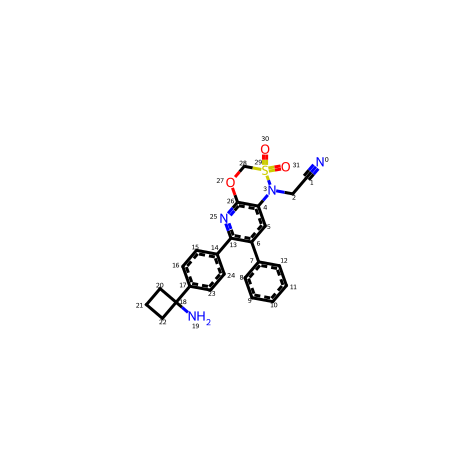 N#CCN1c2cc(-c3ccccc3)c(-c3ccc(C4(N)CCC4)cc3)nc2OCS1(=O)=O